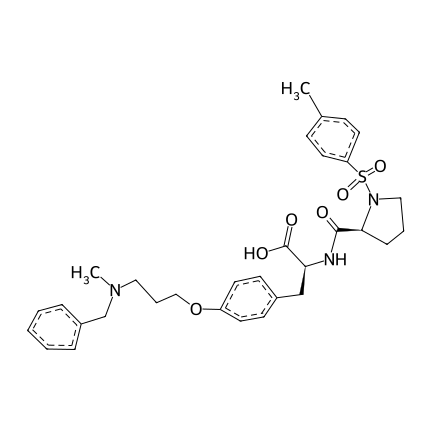 Cc1ccc(S(=O)(=O)N2CCC[C@H]2C(=O)N[C@@H](Cc2ccc(OCCCN(C)Cc3ccccc3)cc2)C(=O)O)cc1